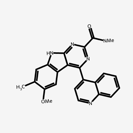 CNC(=O)c1nc(-c2ccnc3ccccc23)c2c(n1)[nH]c1cc(C)c(OC)cc12